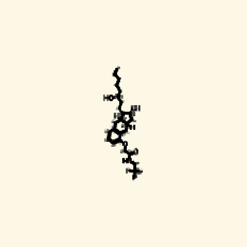 CCCCC[C@H](O)CC[C@@H]1[C@H]2Cc3cccc(OCC(=O)NCC(F)(F)F)c3C[C@H]2C[C@H]1O